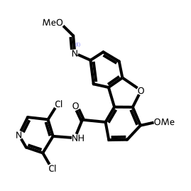 CO/C=N/c1ccc2oc3c(OC)ccc(C(=O)Nc4c(Cl)cncc4Cl)c3c2c1